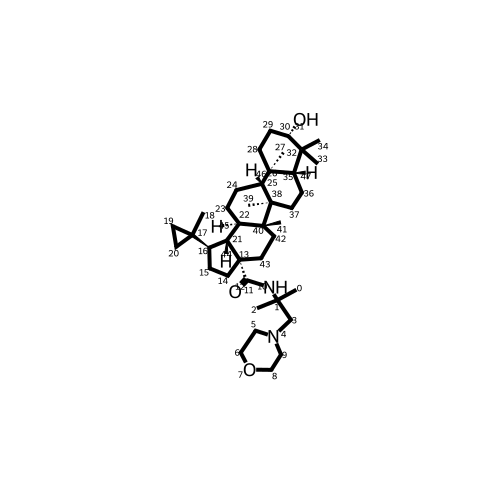 CC(C)(CN1CCOCC1)NC(=O)[C@]12CC[C@@H](C3(C)CC3)[C@@H]1[C@H]1CC[C@@H]3[C@@]4(C)CC[C@H](O)C(C)(C)[C@@H]4CC[C@@]3(C)[C@]1(C)CC2